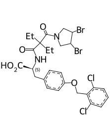 CCC(CC)(C(=O)N[C@@H](Cc1ccc(OCc2c(Cl)cccc2Cl)cc1)C(=O)O)C(=O)N1CC(Br)C(Br)C1